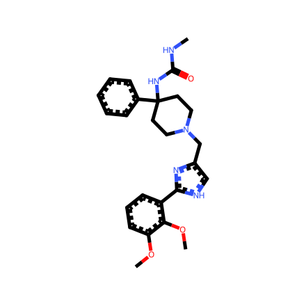 CNC(=O)NC1(c2ccccc2)CCN(Cc2c[nH]c(-c3cccc(OC)c3OC)n2)CC1